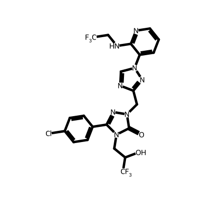 O=c1n(Cc2ncn(-c3cccnc3NCC(F)(F)F)n2)nc(-c2ccc(Cl)cc2)n1CC(O)C(F)(F)F